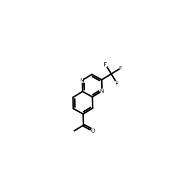 CC(=O)c1ccc2ncc(C(F)(F)F)nc2c1